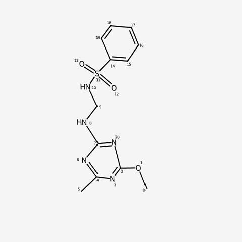 COc1nc(C)nc(NCNS(=O)(=O)c2ccccc2)n1